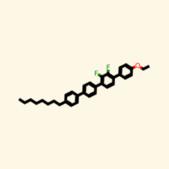 CCCCCCCCc1ccc(-c2ccc(-c3ccc(-c4ccc(OCC)cc4)c(F)c3F)cc2)cc1